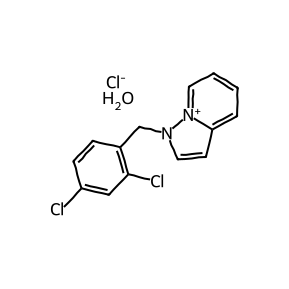 Clc1ccc(Cn2ccc3cccc[n+]32)c(Cl)c1.O.[Cl-]